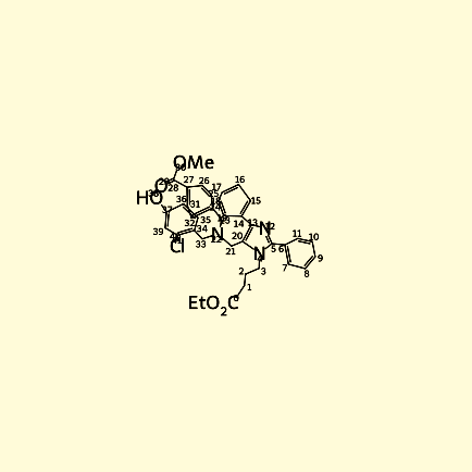 CCOC(=O)CCCn1c(-c2ccccc2)nc(-c2ccccc2)c1CN(Cc1ccc(C(=O)OC)cc1)Cc1ccc(O)cc1Cl